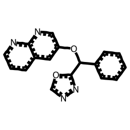 c1ccc(C(Oc2cnc3ncccc3c2)c2nnco2)cc1